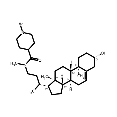 CC(=O)N1CCC(C(=O)N(C)CCC(C)[C@H]2CC[C@H]3[C@@H]4CC=C5C[C@@H](O)CC[C@]5(C)[C@H]4CC[C@]23C)CC1